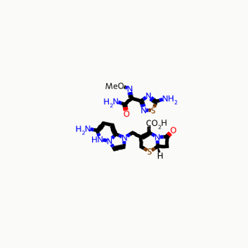 CO/N=C(\C(N)=O)c1nsc(N)n1.NC1=CC=C2N(CC3=C(C(=O)O)N4C(=O)C[C@@H]4SC3)C=CN2N1